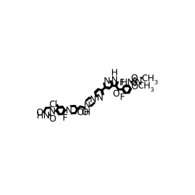 CCN(C)S(=O)(=O)Nc1ccc(F)c(C(=O)c2c[nH]c3ncc(-c4ccc(N5CCN(C(=O)CC6(O)CCN(c7cc(Cl)c(N8CCC(=O)NC8=O)cc7F)CC6)CC5)nc4)cc23)c1F